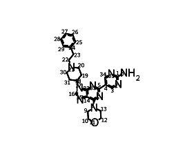 Nc1ncc(-c2nc(N3CCOCC3)c3ncn(C4CCN(CCc5ccccc5)CC4)c3n2)cn1